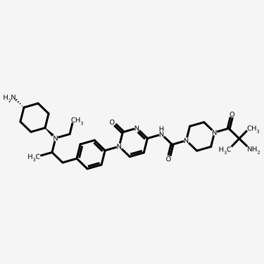 CCN(C(C)Cc1ccc(-n2ccc(NC(=O)N3CCN(C(=O)C(C)(C)N)CC3)nc2=O)cc1)[C@H]1CC[C@H](N)CC1